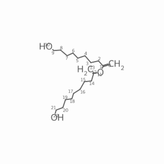 C=C(CCCCCCCCO)OC(=C)CCCCCCCCO